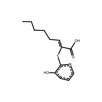 CCCCC/C=C(\Sc1ncccc1O)C(=O)O